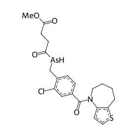 COC(=O)CCC(=O)[AsH]Cc1ccc(C(=O)N2CCCCc3sccc32)cc1Cl